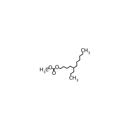 CCCCCCC(CCC)CCCCOC(=O)OC